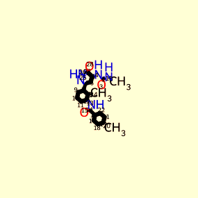 CNC(=O)Nc1cc(-c2cccc(NC(=O)c3ccc(C)cc3)c2C)n[nH]c1=O